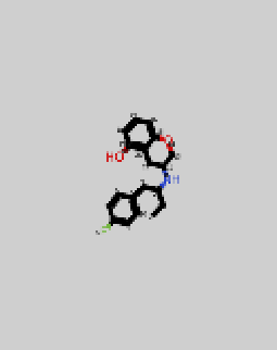 CCC(Cc1ccc(F)cc1)NC1COc2cccc(O)c2C1